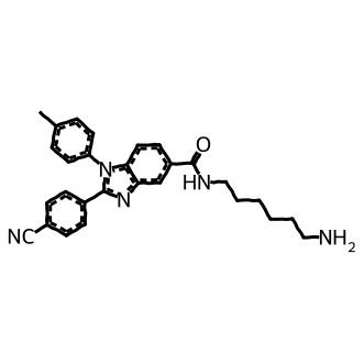 Cc1ccc(-n2c(-c3ccc(C#N)cc3)nc3cc(C(=O)NCCCCCCN)ccc32)cc1